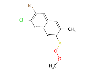 COOSc1cc2cc(Cl)c(Br)cc2cc1C